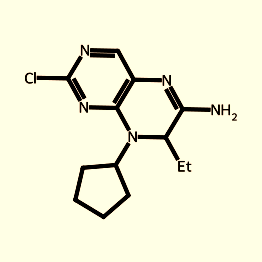 CCC1C(N)=Nc2cnc(Cl)nc2N1C1CCCC1